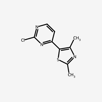 Cc1nc(C)c(-c2ccnc(Cl)n2)s1